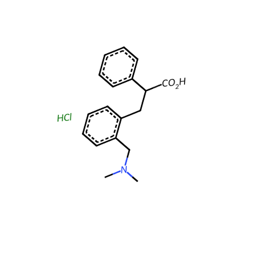 CN(C)Cc1ccccc1CC(C(=O)O)c1ccccc1.Cl